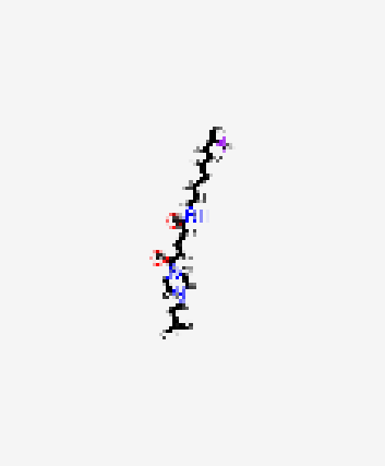 CC(C)CCN1CCN(C(=O)CCCC(=O)NCCCCCCCC(C)I)CC1